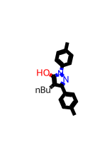 CCCCc1c(-c2ccc(C)cc2)nn(-c2ccc(C)cc2)c1O